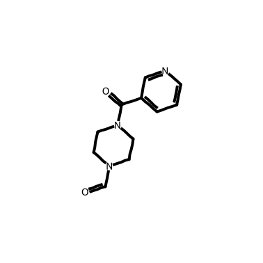 O=CN1CCN(C(=O)c2cccnc2)CC1